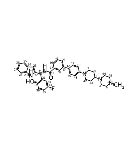 CN1CCN(C2CCN(c3ccc(-c4cccc(C(=O)N[C@@H](c5cc6ccccc6[nH]5)c5cc(F)ccc5O)c4)cc3)CC2)CC1